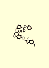 O=C(Oc1ccccc1)c1cccc(CC2COc3ccc(OCc4nc5cc(F)ccc5s4)cc3C2O)c1